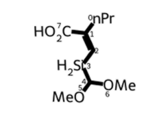 CCCC(=C[SiH2]C(OC)OC)C(=O)O